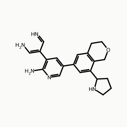 N=C/C(=C\N)c1cc(-c2cc3c(c(C4CCCN4)c2)COCC3)cnc1N